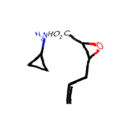 C=CCC1OC1C(=O)O.NC1CC1